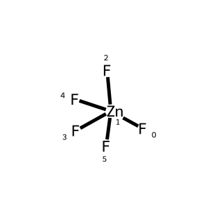 [F][Zn]([F])([F])([F])[F]